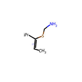 C/C=C(\SCN)C(C)C